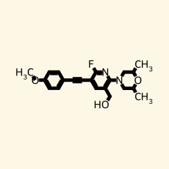 COc1ccc(C#Cc2cc(CO)c(N3CC(C)OC(C)C3)nc2F)cc1